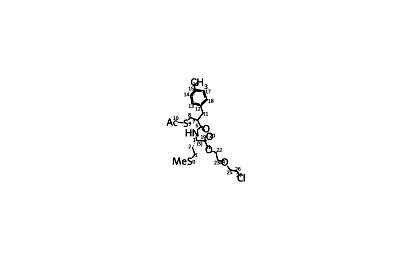 CSCC[C@H](NC(=O)C(CSC(C)=O)Cc1ccc(C)cc1)C(=O)OCCOCCCl